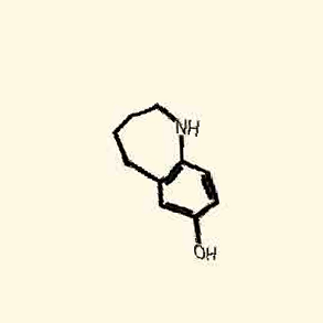 Oc1ccc2c(c1)CCCCN2